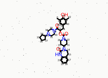 Cc1cc(CC(OC(=O)N2CCC(N3CCc4ccccc4NC3=O)CC2)C(=O)N2CCN(C3CCCC3)CC2)cc(C)c1O